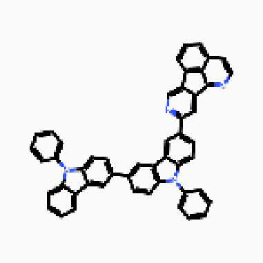 c1ccc(-n2c3ccccc3c3cc(-c4ccc5c(c4)c4cc(-c6cc7c(cn6)-c6cccc8ccnc-7c68)ccc4n5-c4ccccc4)ccc32)cc1